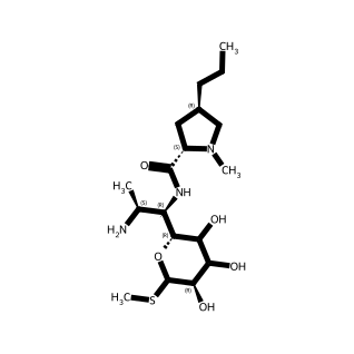 CCC[C@@H]1C[C@@H](C(=O)N[C@H]([C@H](C)N)[C@H]2OC(SC)[C@H](O)C(O)C2O)N(C)C1